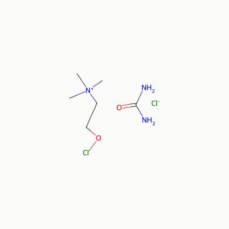 C[N+](C)(C)CCOCl.NC(N)=O.[Cl-]